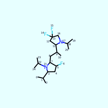 CC(C)C1CC(F)C(CC(C)C2CC(F)(F)CN2C(C)C)N1C(C)C